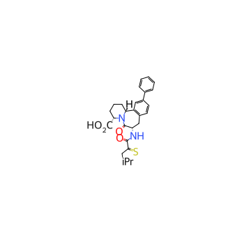 CC(C)CC(=S)C(=O)N[C@H]1Cc2ccc(-c3ccccc3)cc2[C@H]2CCC[C@@H](C(=O)O)N2C1=O